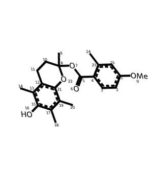 COc1ccc(C(=O)OC2(C)CCc3c(C)c(O)c(C)c(C)c3O2)c(C)c1